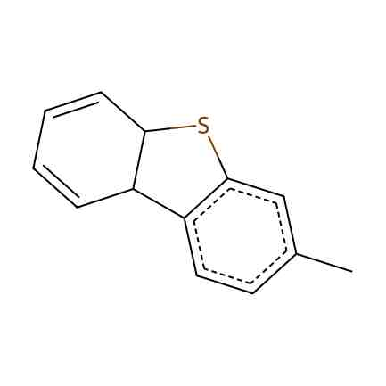 Cc1ccc2c(c1)SC1C=CC=CC21